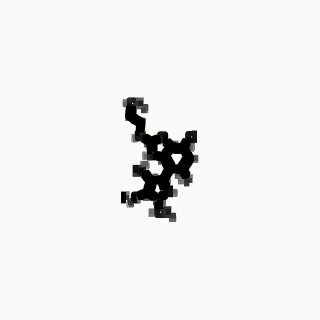 C=CCOc1nc2c(-c3nn(C)c(C(F)(F)F)c3Br)c(F)cc(Cl)c2o1